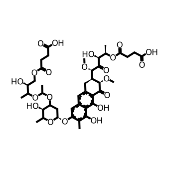 CO[C@@H]1C(=O)c2c(cc3cc(O[C@H]4CC(OC(C)OC(C)[C@@H](O)COC(=O)CCC(=O)O)[C@H](O)C(C)O4)c(C)c(O)c3c2O)C[C@H]1[C@H](OC)C(=O)[C@@H](O)[C@@H](C)OC(=O)CCC(=O)O